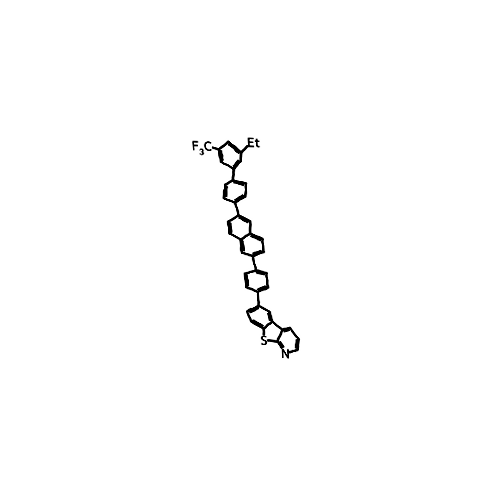 CCc1cc(-c2ccc(-c3ccc4cc(-c5ccc(-c6ccc7sc8ncccc8c7c6)cc5)ccc4c3)cc2)cc(C(F)(F)F)c1